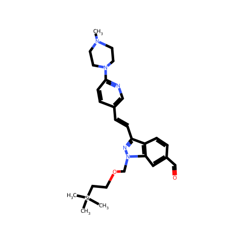 CN1CCN(c2ccc(/C=C/c3nn(COCC[Si](C)(C)C)c4cc(C=O)ccc34)cn2)CC1